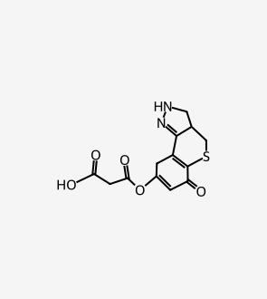 O=C(O)CC(=O)OC1=CC(=O)C2=C(C1)C1=NNCC1CS2